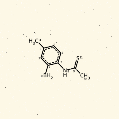 Bc1cc(C)ccc1NC(C)=S